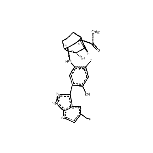 COC(=O)[C@H]1C2CCC(CC2)[C@@H]1Nc1cc(-c2n[nH]c3ncc(F)cc23)c(C#N)cc1F